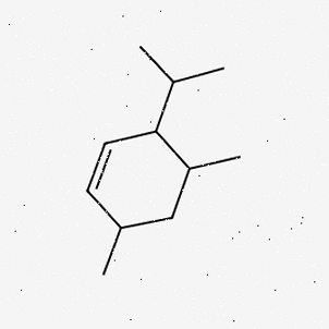 CC1C=CC(C(C)C)C(C)C1